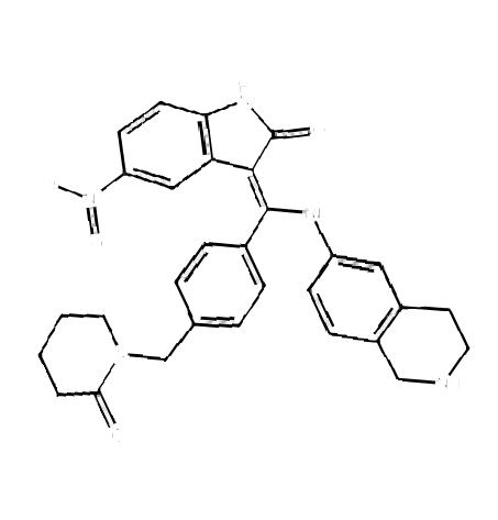 O=C1Nc2ccc([N+](=O)[O-])cc2C1=C(Nc1ccc2c(c1)CCNC2)c1ccc(CN2CCCCC2=O)cc1